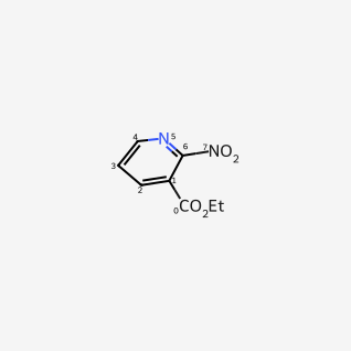 CCOC(=O)c1cccnc1[N+](=O)[O-]